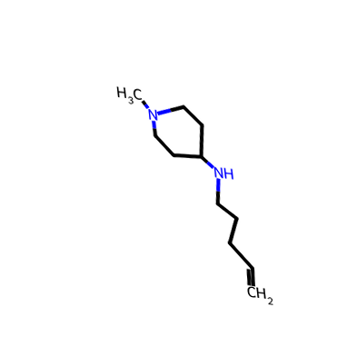 C=CCCCNC1CCN(C)CC1